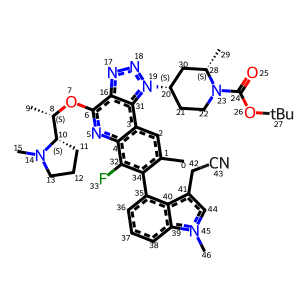 Cc1cc2c(nc(O[C@@H](C)[C@@H]3CCCN3C)c3nnn([C@H]4CCN(C(=O)OC(C)(C)C)[C@@H](C)C4)c32)c(F)c1-c1cccc2c1c(CC#N)cn2C